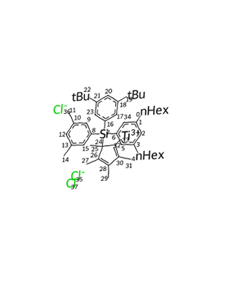 CCCCCCc1cc(CCCCCC)cc([Si](c2cc(C)cc(C)c2)(c2cc(C(C)(C)C)cc(C(C)(C)C)c2)C2(C)C(C)=C(C)C(C)=[C]2[Ti+3])c1.[Cl-].[Cl-].[Cl-]